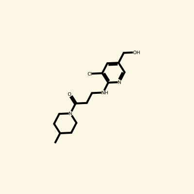 CC1CCN(C(=O)CCNc2ncc(CO)cc2Cl)CC1